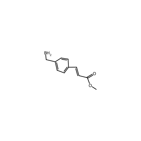 BCc1ccc(/C=C/C(=O)OC)cc1